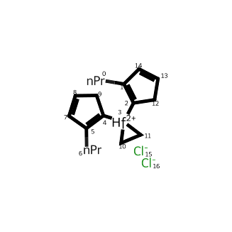 CCCC1=[C]([Hf+2]2([C]3=C(CCC)C=CC3)[CH2][CH2]2)CC=C1.[Cl-].[Cl-]